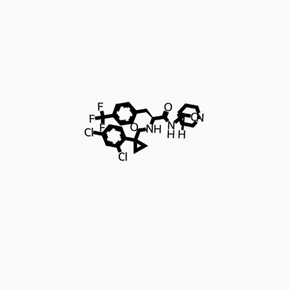 O=C(N[C@H]1CN2CCC1CC2)[C@H](Cc1ccc(C(F)(F)F)cc1)NC(=O)C1(c2ccc(Cl)cc2Cl)CC1